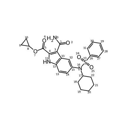 NC(=O)c1c(C(=O)OC2CC2)[nH]c2ccc(N(C3CCCCC3)S(=O)(=O)c3ccccc3)cc12